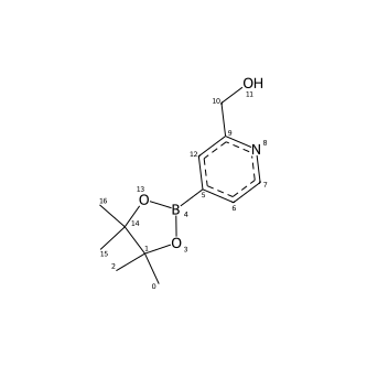 CC1(C)OB(c2ccnc(CO)c2)OC1(C)C